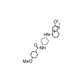 COc1ccc(C(=O)N[C@H]2CC[C@@H](Nc3cccc4nc(C(F)(F)F)cn34)CC2)cc1